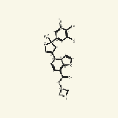 O=C(N[SH]1COC1)c1ccc(C2=NOC(c3cc(Cl)c(F)c(Cl)c3)(C(F)(F)F)C2)c2ccoc12